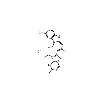 CCN1C(=CC(C)=Cc2sc3c([n+]2CC)[Te]C(C)C=C3)Sc2ccc(Cl)cc21.[Cl-]